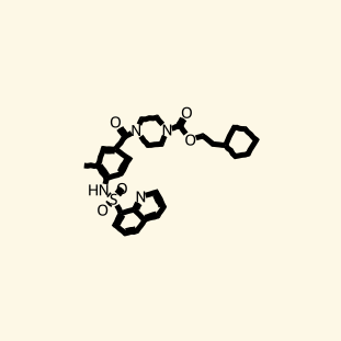 Cc1cc(C(=O)N2CCN(C(=O)OCCC3CCCCC3)CC2)ccc1NS(=O)(=O)c1cccc2cccnc12